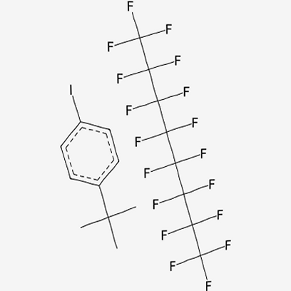 CC(C)(C)c1ccc(I)cc1.FC(F)(F)C(F)(F)C(F)(F)C(F)(F)C(F)(F)C(F)(F)C(F)(F)C(F)(F)F